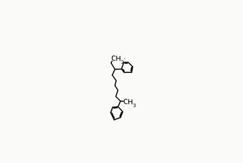 [CH2]CC(CCCCCC(C)c1ccccc1)c1ccccc1